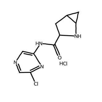 Cl.O=C(Nc1cncc(Cl)n1)C1CC2CC2N1